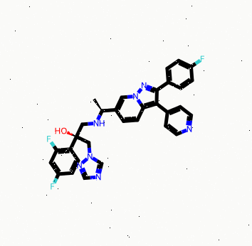 C[C@H](NC[C@](O)(Cn1cncn1)c1ccc(F)cc1F)c1ccc2c(-c3ccncc3)c(-c3ccc(F)cc3)nn2c1